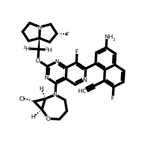 [2H]C([2H])(Oc1nc(N2CCCO[C@H]3[C@H](Cl)[C@H]32)c2cnc(-c3cc(N)cc4ccc(F)c(C#C)c34)c(F)c2n1)[C@@]12CCCN1C[C@H](F)C2